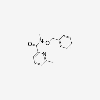 Cc1cccc(C(=O)N(C)OCC2=CCCC=C2)n1